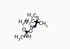 CNC(=O)O/N=C/C(C)(C)SC.N